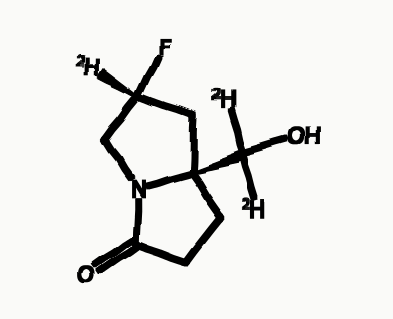 [2H]C([2H])(O)[C@@]12CCC(=O)N1C[C@]([2H])(F)C2